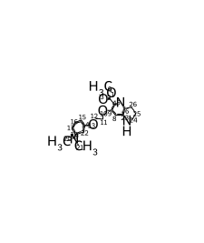 COC(=O)c1nc2c(cc1OCCOc1cccc(N(C)C)c1)NCCC2